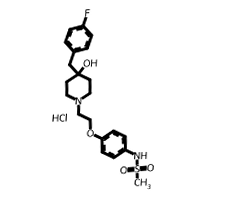 CS(=O)(=O)Nc1ccc(OCCN2CCC(O)(Cc3ccc(F)cc3)CC2)cc1.Cl